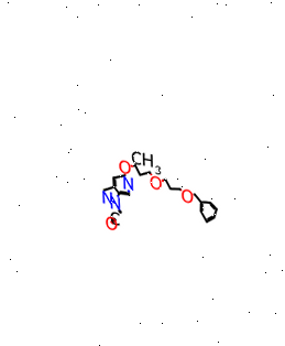 C[C@H](CCOCCCOCc1ccccc1)Oc1cc2cnn(C=C=O)c2cn1